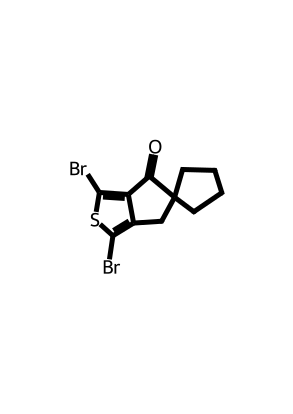 O=C1c2c(Br)sc(Br)c2CC12CCCC2